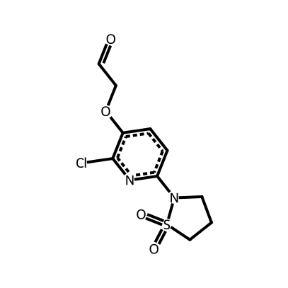 O=CCOc1ccc(N2CCCS2(=O)=O)nc1Cl